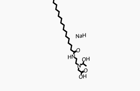 CCCCCCCCCCCCCCCCCC(=O)NCCN(CC(=O)O)C(C)O.[NaH]